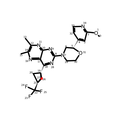 COc1cc([C@H]2CN(c3nc4nc(C)c(C)nc4c([C@]45C[C@@](C(F)(F)F)(C4)C5)n3)CCO2)ccn1